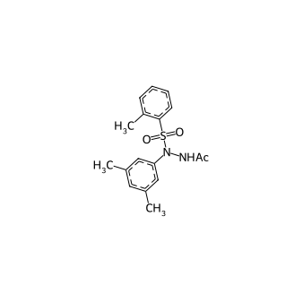 CC(=O)NN(c1cc(C)cc(C)c1)S(=O)(=O)c1ccccc1C